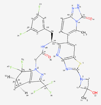 Cc1c(-c2cc3sc(N4CC(C)(O)C4)nc3nc2[C@H](Cc2cc(F)cc(F)c2)NC(=O)Cn2nc(C(F)(F)F)c3c2C(F)(F)[C@@H]2C[C@H]32)ccc2n[nH]c(=O)n12